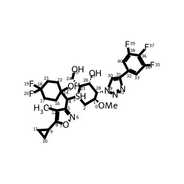 CO[C@H]1C[SH](C(c2noc(C3CC3)c2C)C2(O)CCC(F)(F)CC2)[C@H](CO)[C@H](O)[C@@H]1n1cc(-c2cc(F)c(F)c(F)c2)nn1